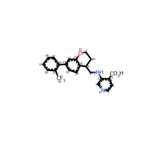 O=C(O)c1ccncc1NCC1CCOc2cc(-c3ccccc3C(F)(F)F)ccc21